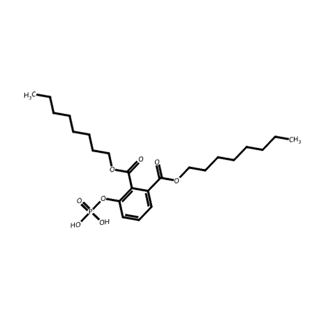 CCCCCCCCOC(=O)c1cccc(OP(=O)(O)O)c1C(=O)OCCCCCCCC